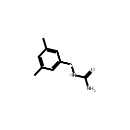 Cc1cc(C)cc(SNC(N)=O)c1